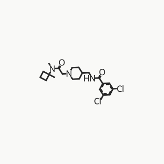 CN(C(=O)CN1CCC(CNC(=O)c2cc(Cl)cc(Cl)c2)CC1)C1(C)CCC1